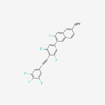 CCCc1ccc2cc(-c3cc(F)c(C#Cc4cc(F)c(F)c(F)c4)c(F)c3)c(F)cc2c1